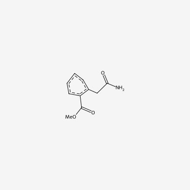 COC(=O)c1ccccc1CC(N)=O